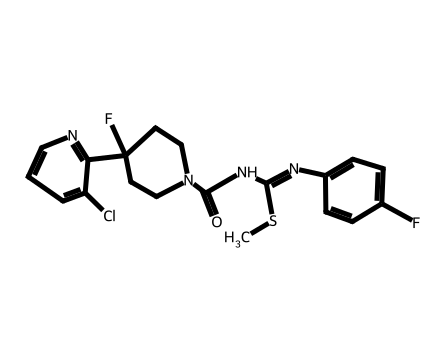 CS/C(=N\c1ccc(F)cc1)NC(=O)N1CCC(F)(c2ncccc2Cl)CC1